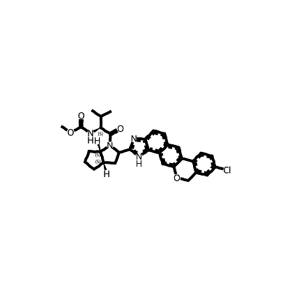 COC(=O)N[C@H](C(=O)N1C(c2nc3ccc4cc5c(cc4c3[nH]2)OCc2cc(Cl)ccc2-5)C[C@@H]2CCC[C@@H]21)C(C)C